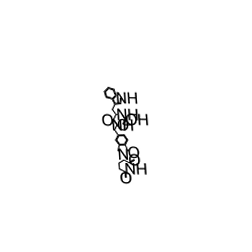 O=C(O)NC(Cc1c[nH]c2ccccc12)C(=O)NCc1ccc2c(c1)CN(C1CCC(=O)NC1=O)C2=O